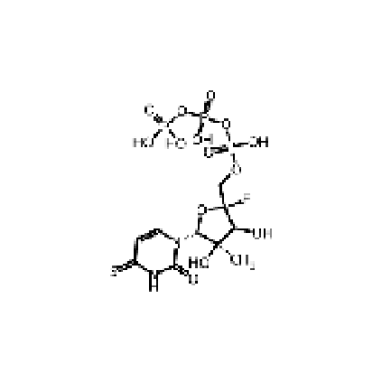 C[C@@]1(O)C(O)[C@@](F)(COP(=O)(O)OP(=O)(O)OP(=O)(O)O)O[C@H]1n1ccc(=S)[nH]c1=O